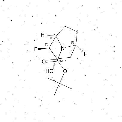 CC(C)(C)OC(=O)N1[C@H]2CC[C@@H]1[C@H](F)[C@@H](O)C2